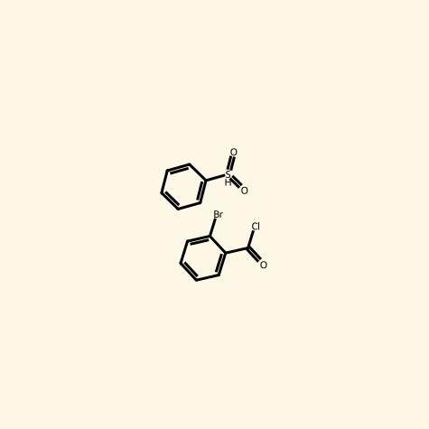 O=C(Cl)c1ccccc1Br.O=[SH](=O)c1ccccc1